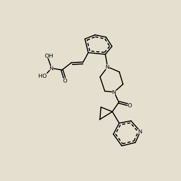 O=C(/C=C/c1ccccc1N1CCN(C(=O)C2(c3cccnc3)CC2)CC1)N(O)O